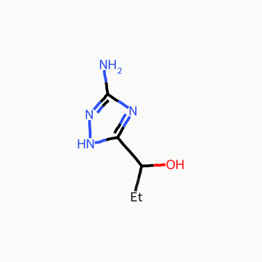 CCC(O)c1nc(N)n[nH]1